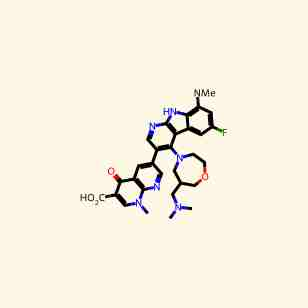 CNc1cc(F)cc2c1[nH]c1ncc(-c3cnc4c(c3)c(=O)c(C(=O)O)cn4C)c(N3CCOCC(CN(C)C)C3)c12